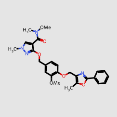 COc1cc(COc2nn(C)cc2C(=O)N(C)OC)ccc1OCc1nc(-c2ccccc2)oc1C